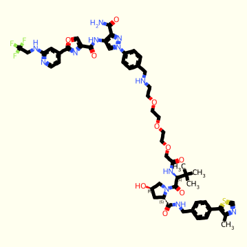 Cc1ncsc1-c1ccc(CNC(=O)[C@@H]2C[C@@H](O)CN2C(=O)[C@@H](NC(=O)COCCOCCOCCNCc2ccc(-n3cc(NC(=O)c4coc(-c5ccnc(NCC(F)(F)F)c5)n4)c(C(N)=O)n3)cc2)C(C)(C)C)cc1